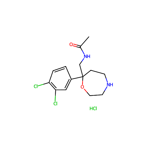 CC(=O)NCC1(c2ccc(Cl)c(Cl)c2)CCNCCO1.Cl